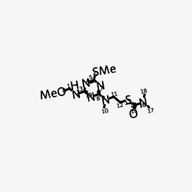 COCNc1nc(SC)nc(N(C)CCSC(=O)N(C)C)n1